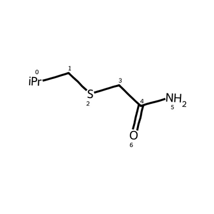 CC(C)CSCC(N)=O